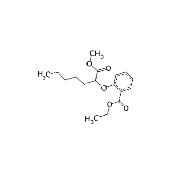 CCCCCC(Oc1ccccc1C(=O)OCC)C(=O)OC